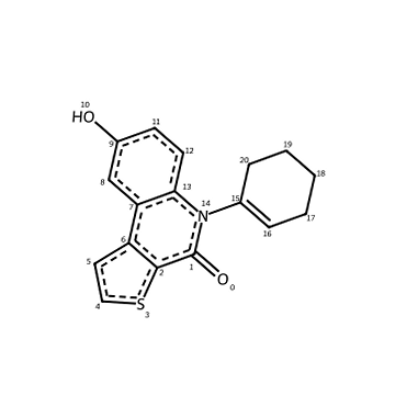 O=c1c2sccc2c2cc(O)ccc2n1C1=CCCCC1